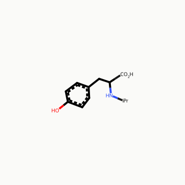 CC(C)NC(Cc1ccc(O)cc1)C(=O)O